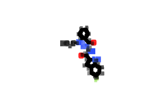 O=C(O)Nc1ccccc1C(=O)NNC(=O)c1cc2cc(F)ccc2[nH]1